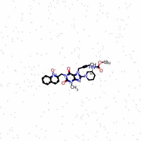 CC#CCn1c(N2CCC[C@@H](NC(=O)OC(C)(C)C)C2)nc2c1c(=O)n(Cc1ccc3ccccc3[n+]1[O-])c(=O)n2C